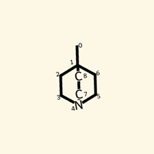 CC12CCN(CC1)CC2